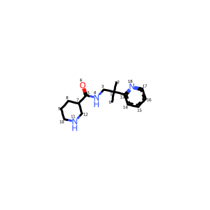 CC(C)(CNC(=O)C1CCCNC1)c1ccccn1